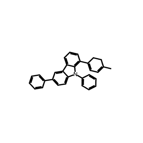 CC1=CC=C(c2cccc3c4cc(-c5ccccc5)ccc4n(-c4ccccc4)c23)CC1